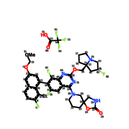 CCc1c(F)ccc2cc(OCOC)cc(-c3c(F)cc4c(N5CCCC6(CNC(=O)O6)C5)nc(OC[C@@]56CCCN5C[C@H](F)C6)nc4c3F)c12.O=C(O)C(F)(F)F